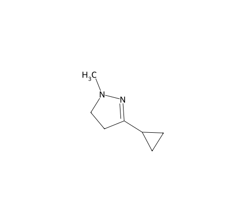 CN1CCC(C2CC2)=N1